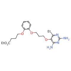 CCOC(=O)CCCOc1ccccc1OCCCOc1c(N)nc(N)nc1CC